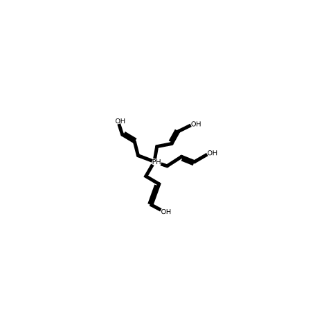 OC=CC[PH](CC=CO)(CC=CO)CC=CO